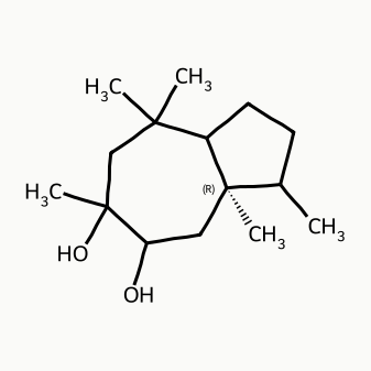 CC1CCC2C(C)(C)CC(C)(O)C(O)C[C@]12C